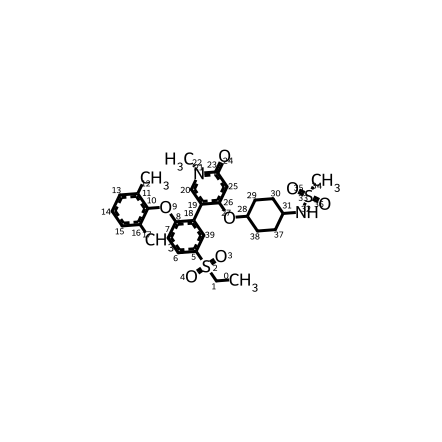 CCS(=O)(=O)c1ccc(Oc2c(C)cccc2C)c(-c2cn(C)c(=O)cc2OC2CCC(NS(C)(=O)=O)CC2)c1